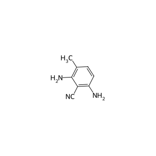 Cc1ccc(N)c(C#N)c1N